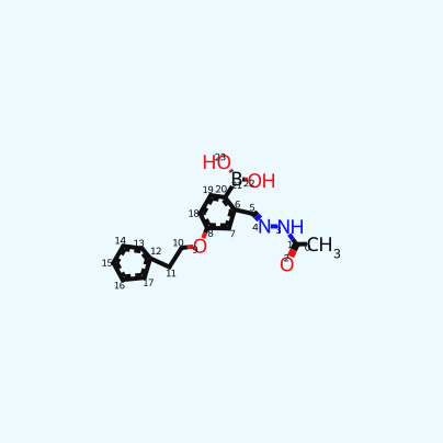 CC(=O)N/N=C/c1cc(OCCc2ccccc2)ccc1B(O)O